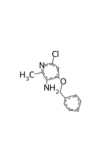 Cc1nc(Cl)cc(OCc2ccccc2)c1N